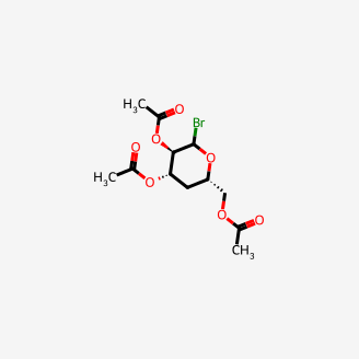 CC(=O)OC[C@@H]1C[C@H](OC(C)=O)[C@@H](OC(C)=O)C(Br)O1